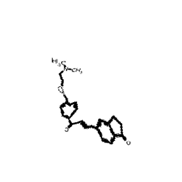 CN(C)CCOc1ccc(C(=O)C=Cc2ccc3c(c2)CCC3=O)cc1